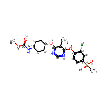 Cc1c(Oc2ccc(S(C)(=O)=O)cc2F)ncnc1O[C@H]1CC[C@H](NC(=O)OC(C)C)CC1